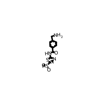 NCc1ccc(C(=O)Nc2nnc([SH](=O)=O)s2)cc1